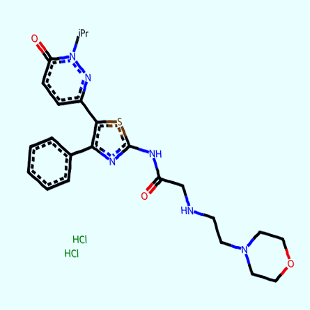 CC(C)n1nc(-c2sc(NC(=O)CNCCN3CCOCC3)nc2-c2ccccc2)ccc1=O.Cl.Cl